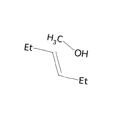 CCC=CCC.CO